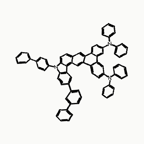 c1ccc(-c2ccc(-n3c4ccc(-c5cccc(-c6ccccc6)c5)cc4c4c5cc6c7ccc(N(c8ccccc8)c8ccccc8)cc7c7cc(N(c8ccccc8)c8ccccc8)ccc7c6cc5ccc43)cc2)cc1